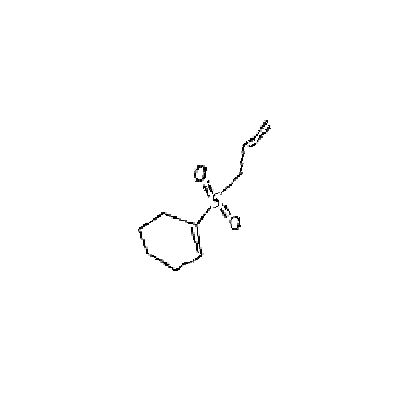 C=CCS(=O)(=O)C1=CCCCC1